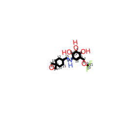 O[C@@H]1[C@@H](O)[C@@H](O)C(COC(F)F)=C[C@H]1NCC1CCC2(CC1)COC2